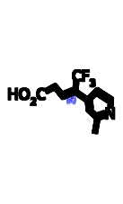 Cc1cc(/C(=C/CC(=O)O)C(F)(F)F)ccn1